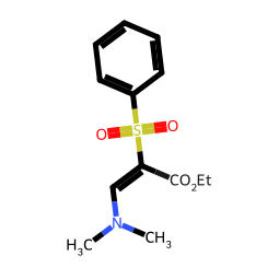 CCOC(=O)C(=CN(C)C)S(=O)(=O)c1ccccc1